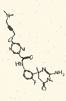 CN(C)CC#CCOc1cnc(C(=O)Nc2ccc(F)c(C3(C)CC(=O)N(C)C(N)=N3)c2)cn1